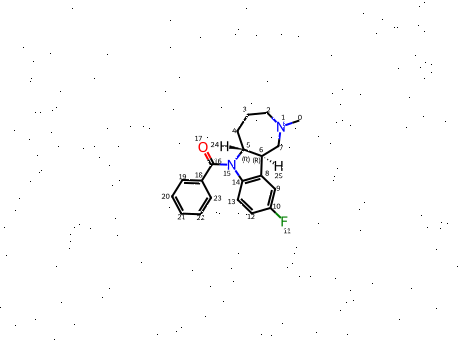 CN1CCC[C@@H]2[C@@H](C1)c1cc(F)ccc1N2C(=O)c1ccccc1